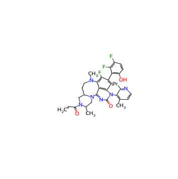 C=CC(=O)N1CC2CCN(C)c3c(F)c(-c4c(O)ccc(F)c4F)cc4c3c(nc(=O)n4-c3c(C)ccnc3C(C)C)N2CC1C